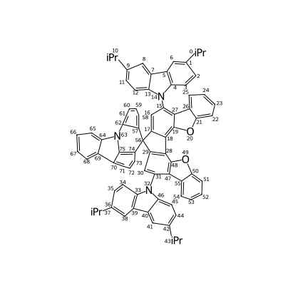 CC(C)c1ccc2c(c1)c1cc(C(C)C)ccc1n2-c1cc2c(c3oc4ccccc4c13)-c1c(cc(-n3c4ccc(C(C)C)cc4c4cc(C(C)C)ccc43)c3c1oc1ccccc13)C21c2ccccc2-n2c3ccccc3c3cccc1c32